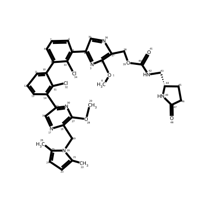 COc1nc(-c2cccc(-c3cccc(-c4cnc(Cn5c(C)ccc5C)c(OC)n4)c3Cl)c2Cl)cnc1COC(=O)NC[C@@H]1CCC(=O)N1